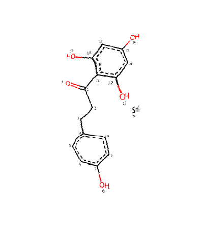 O=C(CCc1ccc(O)cc1)c1c(O)cc(O)cc1O.[Sn]